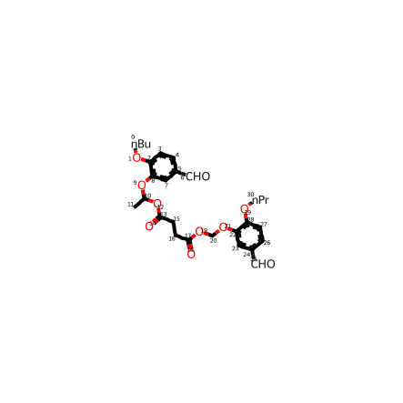 CCCCOc1ccc(C=O)cc1OC(C)OC(=O)CCC(=O)OCOc1cc(C=O)ccc1OCCC